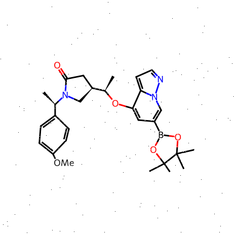 COc1ccc([C@@H](C)N2C[C@H]([C@@H](C)Oc3cc(B4OC(C)(C)C(C)(C)O4)cn4nccc34)CC2=O)cc1